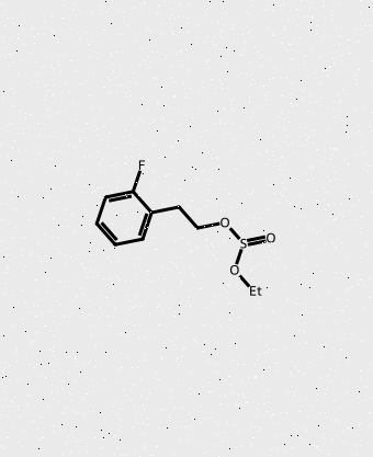 CCOS(=O)OCCc1ccccc1F